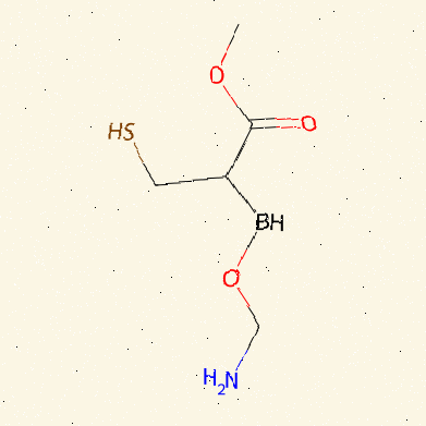 COC(=O)C(BOCN)CS